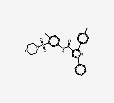 Cc1ccc(-c2nn(-c3ccccc3)cc2C(=O)Nc2ccc(C)c(S(=O)(=O)N3CCOCC3)c2)cc1